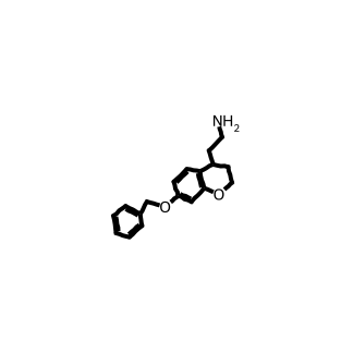 NCCC1CCOc2cc(OCc3ccccc3)ccc21